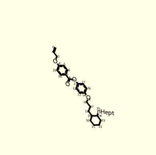 C=CCOc1ccc(C(=O)Oc2ccc(OCCCC3CCCCC3CCCCCCC)cc2)cc1